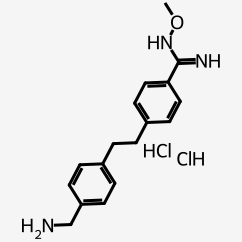 CONC(=N)c1ccc(CCc2ccc(CN)cc2)cc1.Cl.Cl